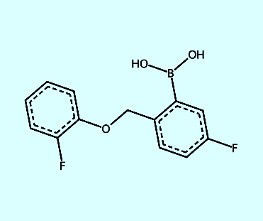 OB(O)c1cc(F)ccc1COc1ccccc1F